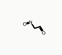 O=CCN=O